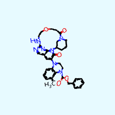 Cc1cccc2c1N(C(=O)OCc1ccccc1)CCN2c1cc2cnc3nc2n(c1=O)C1CCCN(C1)C(=O)CCOCCN3